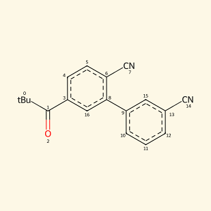 CC(C)(C)C(=O)c1ccc(C#N)c(-c2cccc(C#N)c2)c1